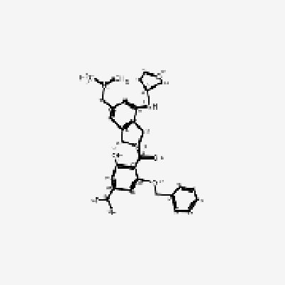 CN(C)Cc1cc2c(c(N[C@H]3CCOC3)c1)CN(C(=O)c1c(O)cc(C(F)F)cc1OCc1ccccc1)C2